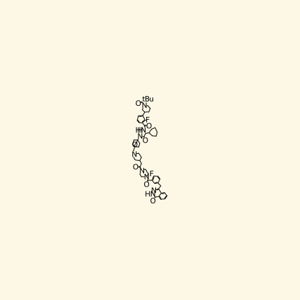 CC(C)(C)C(=O)N1CCCC(c2cccc(C(=O)N[C@@H](C(=O)NC34CCC(CN5CCC(CC(=O)N6CCN(C(=O)c7cc(Cc8n[nH]c(=O)c9ccccc89)ccc7F)CC6)CC5)(CC3)OC4)C3CCCCC3)c2F)C1